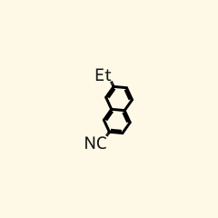 CCc1ccc2ccc(C#N)cc2c1